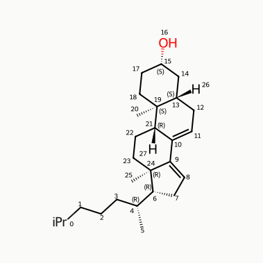 CC(C)CCC[C@@H](C)[C@H]1CC=C2C3=CC[C@H]4C[C@@H](O)CC[C@]4(C)[C@H]3CC[C@@]21C